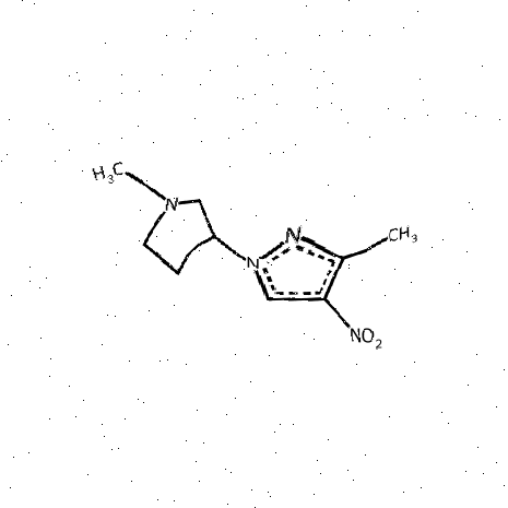 Cc1nn(C2CCN(C)C2)cc1[N+](=O)[O-]